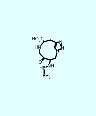 BBNC1Cn2cc(nn2)CC(C(=O)O)NCC1=O